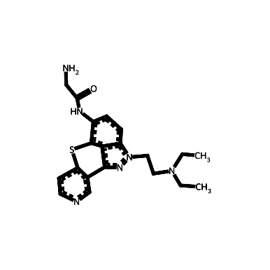 CCN(CC)CCn1nc2c3c(c(NC(=O)CN)ccc31)Sc1ccncc1-2